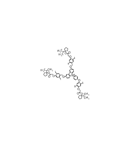 CC(C)C1(OC(=O)COc2cc(I)c(COc3ccc4c(c3)-c3cc(OCc5cc(I)c(OCC(=O)OC6(C(C)C)CCCC6)cc5I)ccc3[SH]4c3ccc(Oc4cc(I)c(OCC(=O)OC5(C(C)C)CCCC5)cc4I)cc3)cc2I)CCCC1